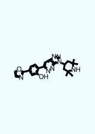 CC1(C)CC(n2nnc3cc(-c4ccc(-c5ncco5)cc4O)nnc32)CC(C)(C)N1